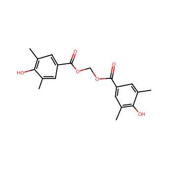 Cc1cc(C(=O)OCOC(=O)c2cc(C)c(O)c(C)c2)cc(C)c1O